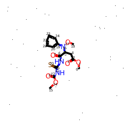 COC(=O)CC(C(=O)NC(=S)NC(=O)OC)N(OC)c1ccccc1